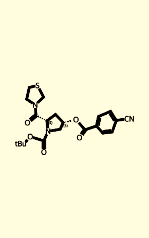 CC(C)(C)OC(=O)N1C[C@@H](OC(=O)c2ccc(C#N)cc2)C[C@H]1C(=O)N1CCSC1